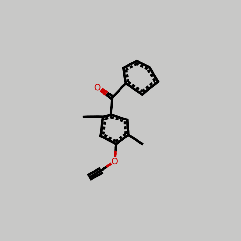 C#COc1cc(C)c(C(=O)c2ccccc2)cc1C